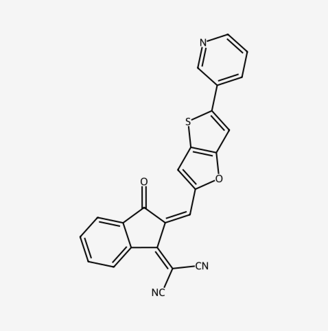 N#CC(C#N)=C1/C(=C/c2cc3sc(-c4cccnc4)cc3o2)C(=O)c2ccccc21